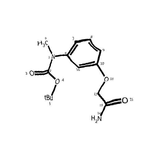 CN(C(=O)OC(C)(C)C)c1cccc(OCC(N)=O)c1